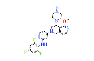 COc1nccc2c1C(N1CCNCC1)=CN(c1ccnc(Nc3c(F)cc(F)cc3F)c1)C2